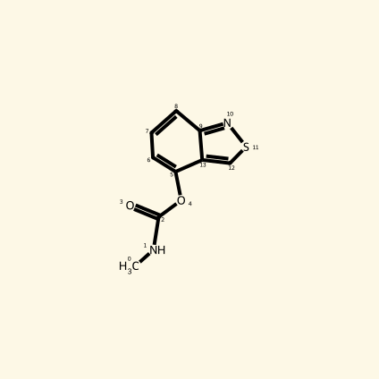 CNC(=O)Oc1cccc2nscc12